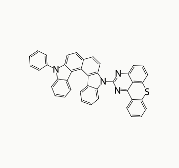 c1ccc(-n2c3ccccc3c3c4c(ccc32)ccc2c4c3ccccc3n2-c2nc3c4c(cccc4n2)Sc2ccccc2-3)cc1